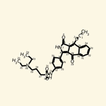 CCOC1=C2C(=O)NC(c3ccc(NS(=O)(=O)CCCN(CC)CC)cc3)=C2C(=O)c2ccccc21